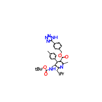 Cc1ccc(-c2c(CNC(=O)OC(C)(C)C)c(CC(C)C)nc(C)c2C(=O)OCc2ccc(-c3nnn[nH]3)cc2)cc1